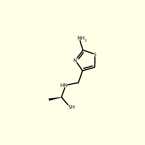 C[C@H](S)NCc1csc(N)n1